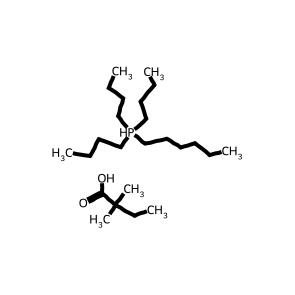 CCC(C)(C)C(=O)O.CCCCCC[PH](CCCC)(CCCC)CCCC